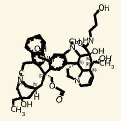 CCC1(O)C[C@H]2C[N@](CCc3c([nH]c4ccccc34)[C@@](COC=O)(c3cc4c(cc3CO)N(C)C3[C@]45CCN4CC=C[C@](CC)(C45)[C@@H](O)[C@]3(O)C(=O)NCCCO)C2)C1